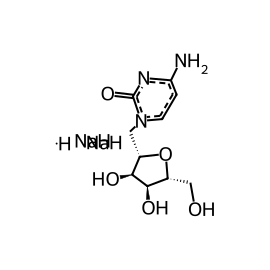 Nc1ccn(C[C@@H]2O[C@H](CO)[C@@H](O)[C@H]2O)c(=O)n1.[H].[NaH].[NaH]